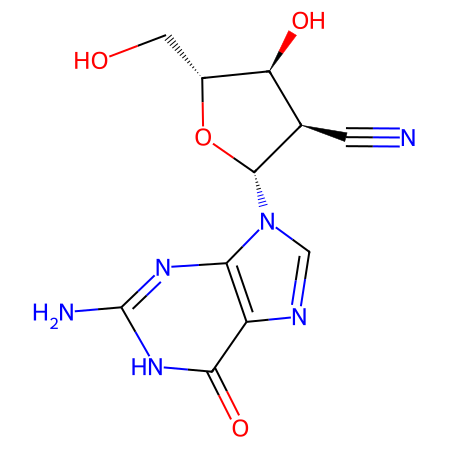 N#C[C@@H]1[C@H](O)[C@@H](CO)O[C@H]1n1cnc2c(=O)[nH]c(N)nc21